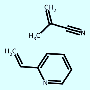 C=C(C)C#N.C=Cc1ccccn1